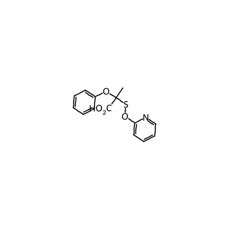 CC(Oc1ccccc1)(SOc1ccccn1)C(=O)O